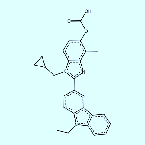 CCn1c2ccccc2c2cc(-c3nc4c(C)c(OC(=O)O)ccc4n3CC3CC3)ccc21